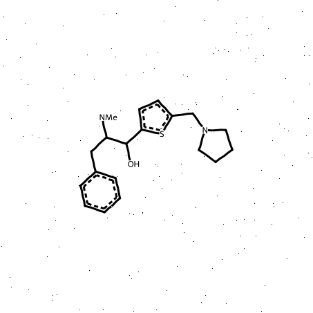 CNC(Cc1ccccc1)C(O)c1ccc(CN2CCCC2)s1